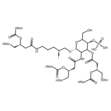 CCCCCCCCCCC[C@H](CC(=O)NCCC[C@H](I)CO[C@@H]1OC(CO)[C@@H](OP(=O)(O)O)C(OC(=O)C[C@@H](CCCCCCCCCCC)OC(=O)CCCCCCCCC)C1NC(=O)C[C@@H](CCCCCCCCCCC)OC(=O)CCCCCCCCC)OC(=O)CCCCCCCCC